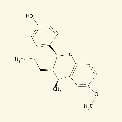 CCC[C@@H]1[C@H](C)c2cc(OC)ccc2O[C@@H]1c1ccc(O)cc1